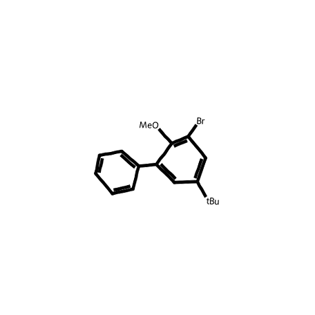 COc1c(Br)cc(C(C)(C)C)cc1-c1ccccc1